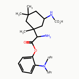 CCCN(CCC)c1ccccc1OC(=O)C(N)C1(C)CC(NC(=O)O)CC(C)(C)C1